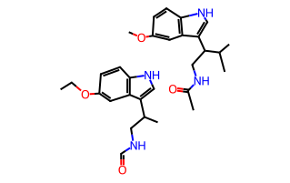 CCOc1ccc2[nH]cc(C(C)CNC=O)c2c1.COc1ccc2[nH]cc(C(CNC(C)=O)C(C)C)c2c1